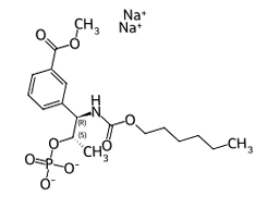 CCCCCCOC(=O)N[C@H](c1cccc(C(=O)OC)c1)[C@H](C)OP(=O)([O-])[O-].[Na+].[Na+]